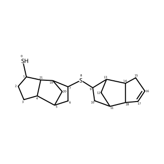 SC1CCC2C3CC(SC4CC5CC4C4CC=CC54)C(C3)C12